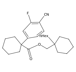 CCCCCCC1(COC(=O)C2(c3ccc(C#N)c(F)c3)CCCCC2)CCCCC1